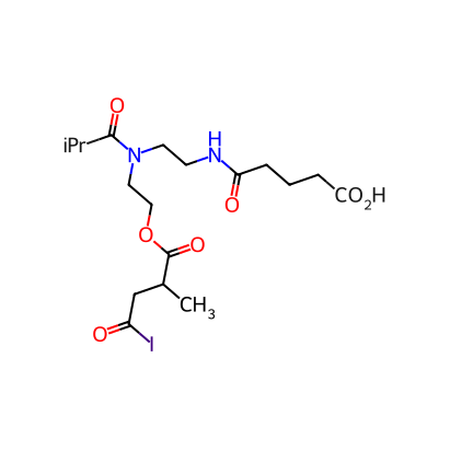 CC(C)C(=O)N(CCNC(=O)CCCC(=O)O)CCOC(=O)C(C)CC(=O)I